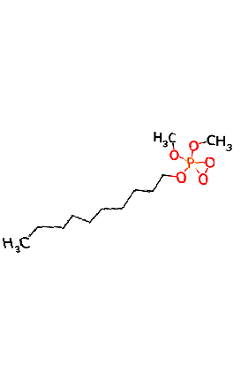 CCCCCCCCCCOP1(OC)(OC)OO1